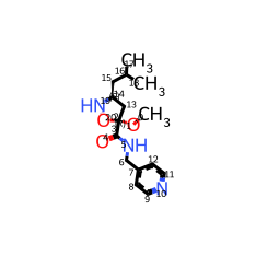 CO[C@]1(C(=O)NCc2ccncc2)C[C@H](CC(C)C)NO1